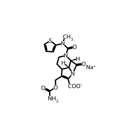 CN(C(=O)N1CCC2C(COC(N)=O)=C(C(=O)[O-])N3C(=O)[C@@H]1[C@@H]23)c1cccs1.[Na+]